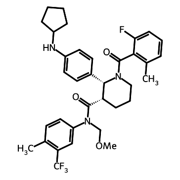 COCN(C(=O)[C@H]1CCCN(C(=O)c2c(C)cccc2F)[C@H]1c1ccc(NC2CCCC2)cc1)c1ccc(C)c(C(F)(F)F)c1